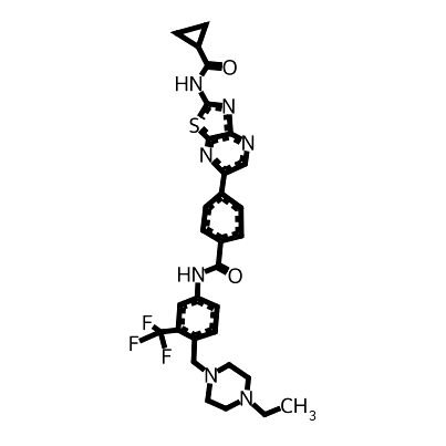 CCN1CCN(Cc2ccc(NC(=O)c3ccc(-c4cnc5nc(NC(=O)C6CC6)sc5n4)cc3)cc2C(F)(F)F)CC1